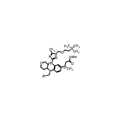 COC(=O)C[C@@H](C)c1ccc(N(CC(C)C)C2CCOCC2)c(Nc2nc(C(F)(F)F)n(COCC[Si](C)(C)C)n2)c1